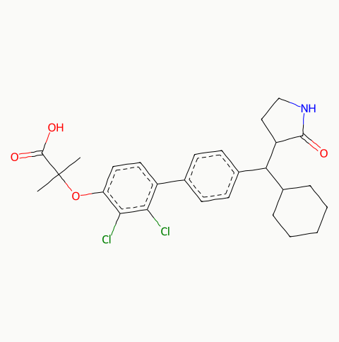 CC(C)(Oc1ccc(-c2ccc(C(C3CCCCC3)C3CCNC3=O)cc2)c(Cl)c1Cl)C(=O)O